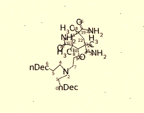 CCCCCCCCCCCCN(CCCCCCCCCCCC)CCCC1C(C)(C(N)=O)CC(C)(C(N)=O)CC1(C)C(N)=O